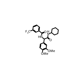 COc1ccc(C(NC(=O)c2cccc(C(F)(F)F)c2)C(=O)NC2CCCCC2)cc1OC